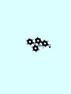 COc1ccc(-c2cccc(N(c3ccccc3)c3ccccc3)c2N)cc1